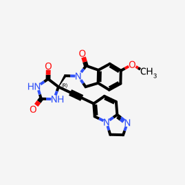 COc1ccc2c(c1)C(=O)N(C[C@@]1(C#CC3=CN4CCN=C4C=C3)NC(=O)NC1=O)C2